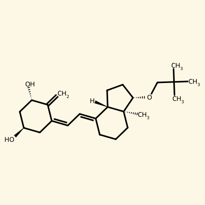 C=C1/C(=C\C=C2/CCC[C@]3(C)[C@@H](OCC(C)(C)C)CC[C@@H]23)C[C@@H](O)C[C@@H]1O